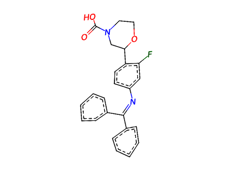 O=C(O)N1CCOC(c2ccc(N=C(c3ccccc3)c3ccccc3)cc2F)C1